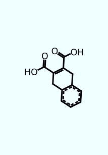 O=C(O)C1=C(C(=O)O)Cc2ccccc2C1